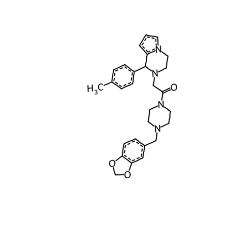 Cc1ccc(C2c3cccn3CCN2CC(=O)N2CCN(Cc3ccc4c(c3)OCO4)CC2)cc1